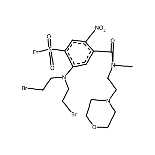 CCS(=O)(=O)c1cc([N+](=O)[O-])c(C(=O)N(C)CCN2CCOCC2)cc1N(CCBr)CCBr